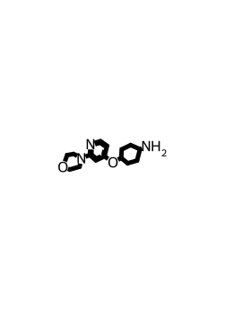 NC1CCC(Oc2ccnc(N3CCOCC3)c2)CC1